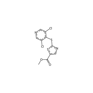 COC(=O)c1cnc(Sc2c(Cl)cncc2Cl)s1